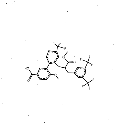 COC(=O)N(Cc1cc(C(F)(F)F)cc(C(F)(F)F)c1)Cc1cc(C(F)(F)F)ccc1-c1cc(C(=O)O)ccc1OC